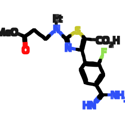 CCN(CCC(=O)OC)c1nc(-c2ccc(C(=N)N)cc2F)c(C(=O)O)s1